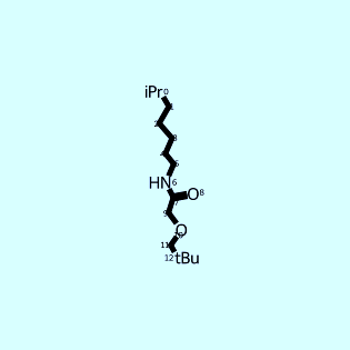 CC(C)CCCCCNC(=O)COCC(C)(C)C